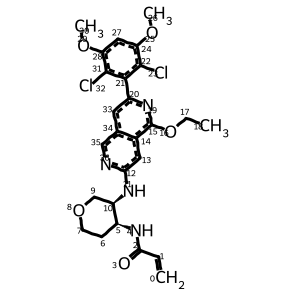 C=CC(=O)N[C@H]1CCOC[C@H]1Nc1cc2c(OCC)nc(-c3c(Cl)c(OC)cc(OC)c3Cl)cc2cn1